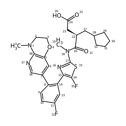 CN1CCOc2cc(-c3ccc(F)cc3-c3nc(N(C)C(=O)[C@@H](CC(=O)O)CC4CCCC4)sc3F)cnc21